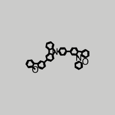 c1ccc2c(c1)Oc1cccc3c4ccc(-c5ccc(-n6c7ccccc7c7cc(-c8ccc9oc%10ccccc%10c9c8)ccc76)cc5)cc4n-2c13